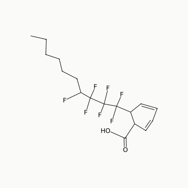 CCCCCCC(F)C(F)(F)C(F)(F)C(F)(F)C1C=CC=CC1C(=O)O